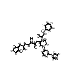 O=C(CC1CN(c2ccnc(-n3ccnc3)n2)CCN1C(=O)COc1ccccc1)NCCC1=COC2=CCOC2=C1